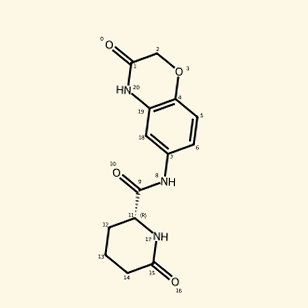 O=C1COc2ccc(NC(=O)[C@H]3CCCC(=O)N3)cc2N1